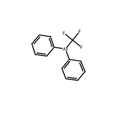 FC(F)(F)[As](c1ccccc1)c1ccccc1